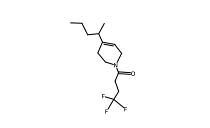 CCCC(C)C1=CCN(C(=O)CCC(F)(F)F)CC1